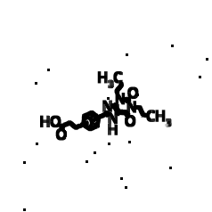 CCCn1c(=O)c2[nH]c(C34CCC(CCC(=O)O)(CC3)OC4)nc2n(CCC)c1=O